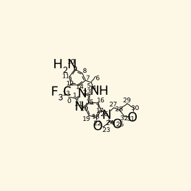 Cc1nc(NC(C)c2cc(N)cc(C(F)(F)F)c2)c2cc3c(cc2n1)OCC(=O)N3CC1CCOC1